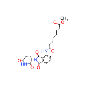 COC(=O)CCCCCCC(=O)Nc1cccc2c1C(=O)N(C1CCC(=O)NC1=O)C2=O